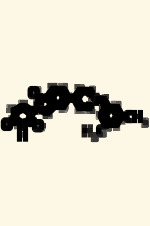 Cc1cc(C)cc(CN2CCC(c3ccc4c(c3)CN(C3CCC(=O)NC3=O)C4=O)CC2)c1